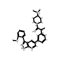 COc1ccccc1-c1n[nH]c2ncc(-c3cccc(C(C)C(=O)N4CCC(N(C)C)CC4)c3)cc12